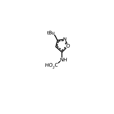 CC(C)(C)c1cc(NC(=O)O)on1